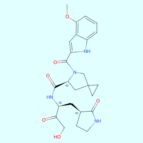 COc1cccc2[nH]c(C(=O)N3CC4(CC4)C[C@H]3C(=O)N[C@@H](C[C@@H]3CCNC3=O)C(=O)CO)cc12